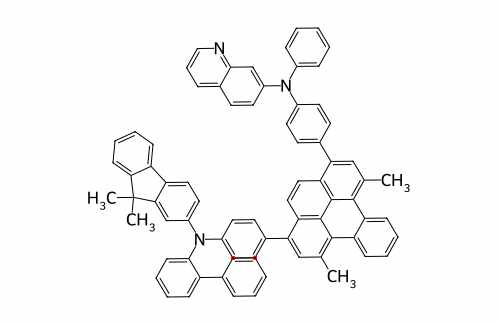 Cc1cc(-c2ccc(N(c3ccccc3)c3ccc4cccnc4c3)cc2)c2ccc3c(-c4ccc(N(c5ccc6c(c5)C(C)(C)c5ccccc5-6)c5ccccc5-c5ccccc5)cc4)cc(C)c4c5ccccc5c1c2c34